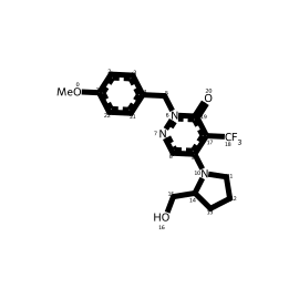 COc1ccc(Cn2ncc(N3CCCC3CO)c(C(F)(F)F)c2=O)cc1